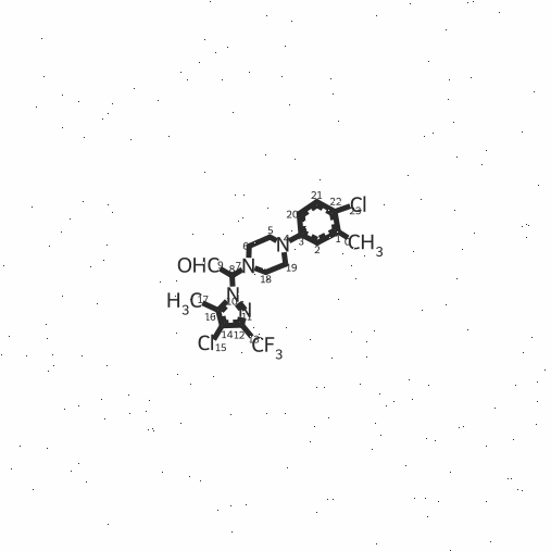 Cc1cc(N2CCN(C(C=O)n3nc(C(F)(F)F)c(Cl)c3C)CC2)ccc1Cl